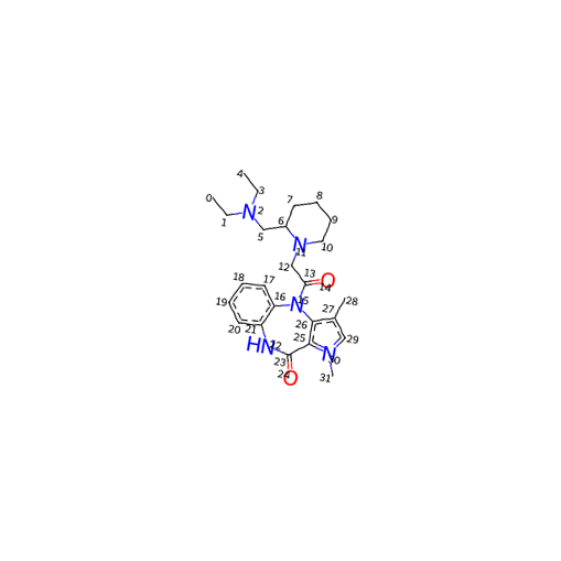 CCN(CC)CC1CCCCN1CC(=O)N1c2ccccc2NC(=O)c2c1c(C)cn2C